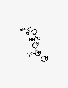 CCCS(=O)(=O)c1cccc(C(=O)Nc2ccc(-n3nc(-c4cccnc4)cc3C(F)(F)F)cn2)c1